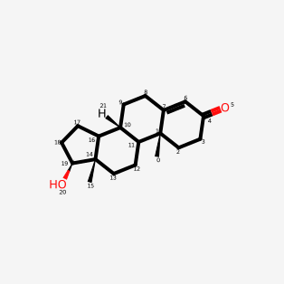 C[C@]12CCC(=O)C=C1CC[C@@H]1C2CC[C@@]2(C)C1CC[C@@H]2O